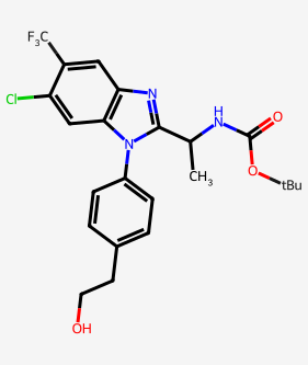 CC(NC(=O)OC(C)(C)C)c1nc2cc(C(F)(F)F)c(Cl)cc2n1-c1ccc(CCO)cc1